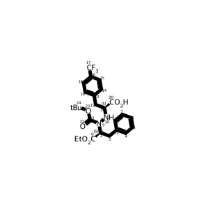 CCOC(=O)[C@H](Cc1ccccc1)N(N[C@@H](Cc1ccc(C(F)(F)F)cc1)C(=O)O)C(=O)OC(C)(C)C